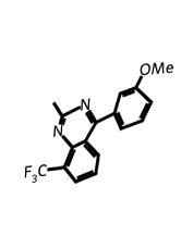 COc1cccc(-c2nc(C)nc3c(C(F)(F)F)cccc23)c1